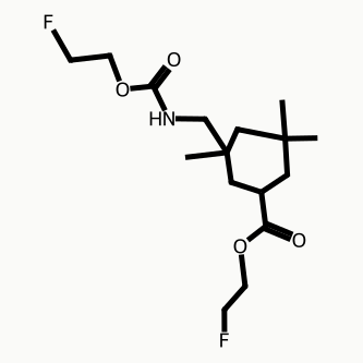 CC1(C)CC(C(=O)OCCF)CC(C)(CNC(=O)OCCF)C1